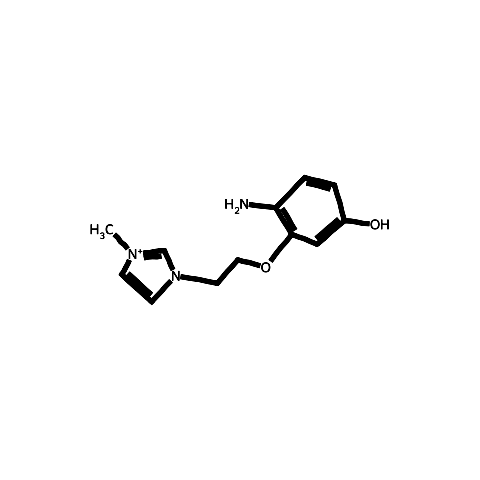 C[n+]1ccn(CCOc2cc(O)ccc2N)c1